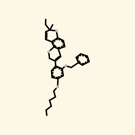 CCCCCCOc1ccc(C2=Cc3ccc4c(c3OC2)C=CC(C)(CC)O4)c(OCc2ccccc2)c1